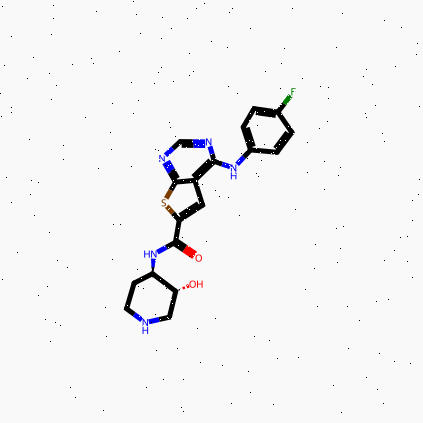 O=C(N[C@@H]1CCNC[C@H]1O)c1cc2c(Nc3ccc(F)cc3)ncnc2s1